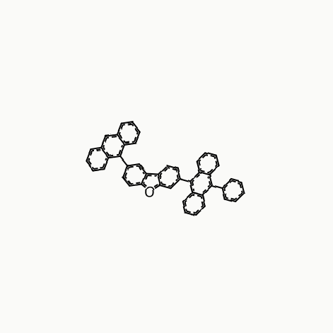 c1ccc(-c2c3ccccc3c(-c3ccc4c(c3)oc3ccc(-c5c6ccccc6cc6ccccc56)cc34)c3ccccc23)cc1